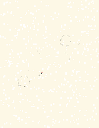 COCC(=O)O[C@]1(CCN(C)CCCCN2C(=O)CN(C)C(=O)c3ccccc32)CCc2cc(F)ccc2[C@@H]1C(C)C